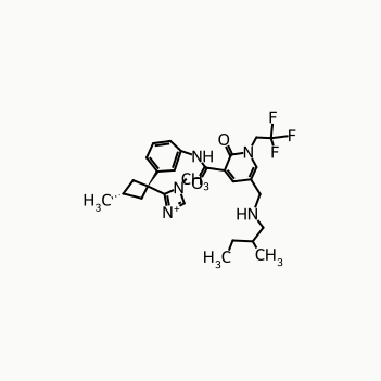 CCC(C)CNCc1cc(C(=O)Nc2cccc([C@]3(C4=[N+]=CN4C)C[C@@H](C)C3)c2)c(=O)n(CC(F)(F)F)c1